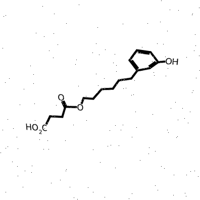 O=C(O)CCC(=O)OCCCCCCc1cccc(O)c1